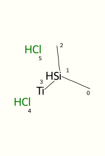 C[SiH](C)[Ti].Cl.Cl